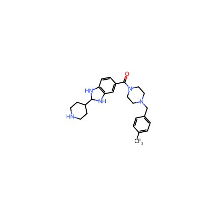 O=C(c1ccc2c(c1)NC(C1CCNCC1)N2)N1CCN(Cc2ccc(C(F)(F)F)cc2)CC1